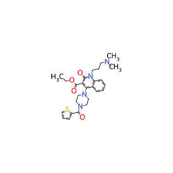 CCOC(=O)c1c(N2CCN(C(=O)c3cccs3)CC2)c2ccccc2n(CCCN(C)C)c1=O